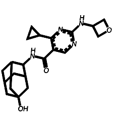 O=C(NC1C2CC3CC1CC(O)(C3)C2)c1cnc(NC2COC2)nc1C1CC1